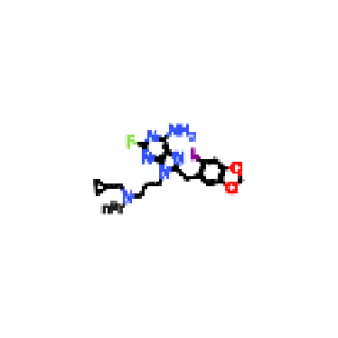 CCCN(CCCn1c(Cc2cc3c(cc2I)OCO3)nc2c(N)nc(F)nc21)CC1CC1